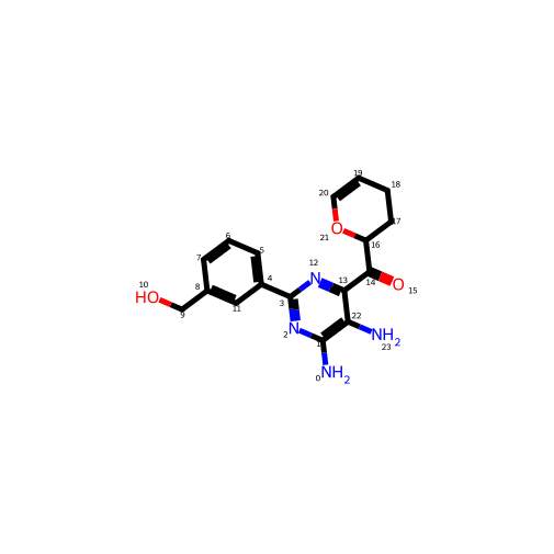 Nc1nc(-c2cccc(CO)c2)nc(C(=O)C2CCC=CO2)c1N